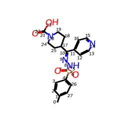 Cc1ccc(S(=O)(=O)N/N=C(\c2ccncc2)C2CCN(C(=O)O)CC2)cc1